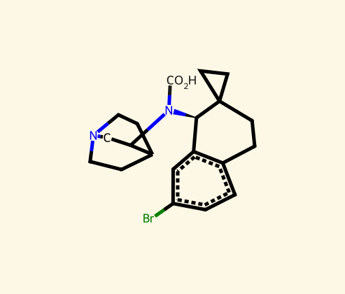 O=C(O)N(C1CN2CCC1CC2)[C@@H]1c2cc(Br)ccc2CCC12CC2